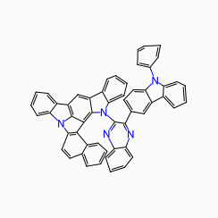 c1ccc(-n2c3ccccc3c3cc(-c4nc5ccccc5nc4-n4c5ccccc5c5cc6c7ccccc7n7c8ccc9ccccc9c8c(c54)c67)ccc32)cc1